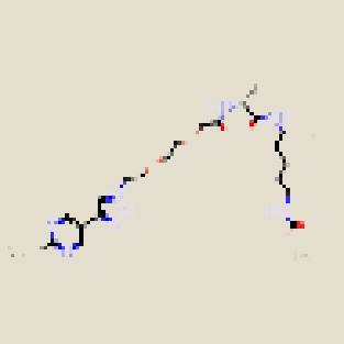 CSc1ncc(-c2cn(CCOCCOCC(=O)N[C@H](C(=O)N[C@@H](CCCCNC(=O)OC(C)(C)C)C(=O)O)C(C)C)nn2)cn1